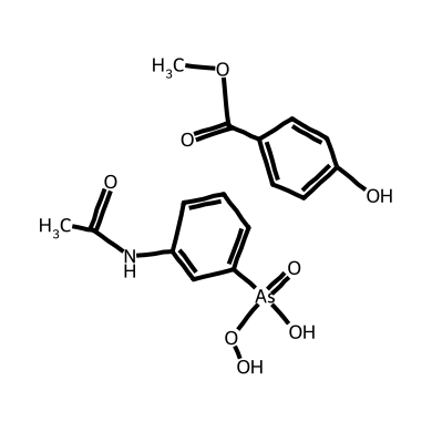 CC(=O)Nc1cccc([As](=O)(O)OO)c1.COC(=O)c1ccc(O)cc1